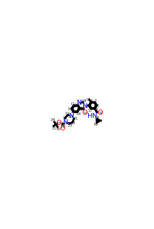 Cc1ccc(C(=O)NC2CC2)cc1-n1cnc2ccc(N3CCCN(C(=O)OC(C)(C)C)CC3)cc2c1=O